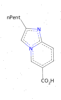 CCCCCc1cn2cc(C(=O)O)ccc2n1